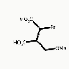 COCC(C(=O)O)C(Br)C(=O)O